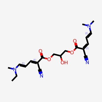 CCN(C)/C=C/C=C(\C#N)C(=O)OCC(O)COC(=O)/C(C#N)=C\C=C\N(C)C